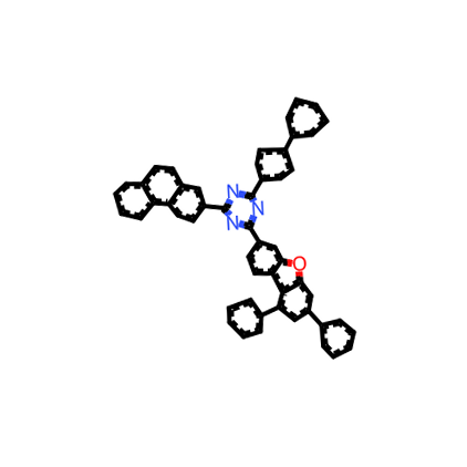 c1ccc(-c2ccc(-c3nc(-c4ccc5c(ccc6ccccc65)c4)nc(-c4ccc5c(c4)oc4cc(-c6ccccc6)cc(-c6ccccc6)c45)n3)cc2)cc1